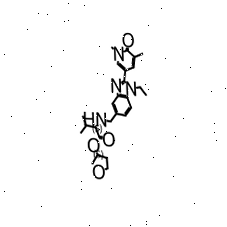 CCn1c(-c2cc(C)c(=O)n(C)c2)nc2cc(CN[C@H](C(=O)O[C@H]3CCOC3)C(C)C)ccc21